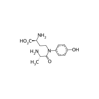 C[C@H](N)C(=O)N(CC[C@H](N)C(=O)O)c1ccc(O)cc1